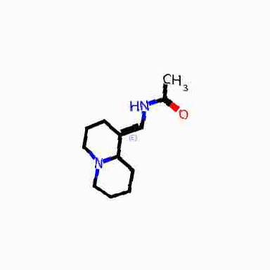 CC(=O)N/C=C1\CCCN2CCCCC12